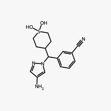 N#Cc1cccc(C(C2CCS(O)(O)CC2)n2cc(N)cn2)c1